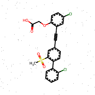 CS(=O)(=O)c1cc(C#Cc2cc(Cl)ccc2OCC(=O)O)ccc1-c1ccccc1Cl